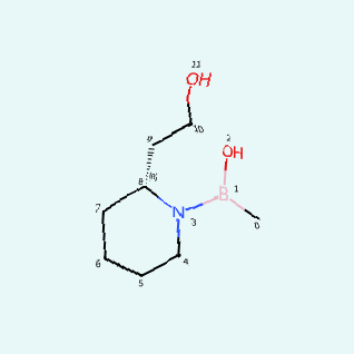 CB(O)N1CCCC[C@@H]1CCO